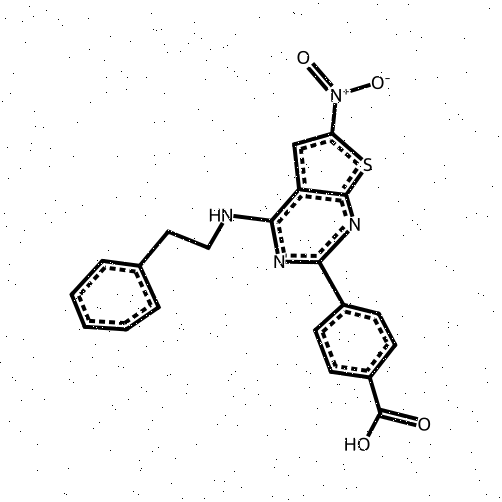 O=C(O)c1ccc(-c2nc(NCCc3ccccc3)c3cc([N+](=O)[O-])sc3n2)cc1